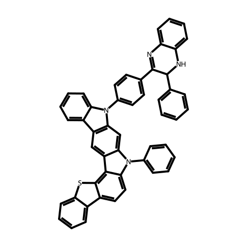 c1ccc(C2Nc3ccccc3N=C2c2ccc(-n3c4ccccc4c4cc5c6c7sc8ccccc8c7ccc6n(-c6ccccc6)c5cc43)cc2)cc1